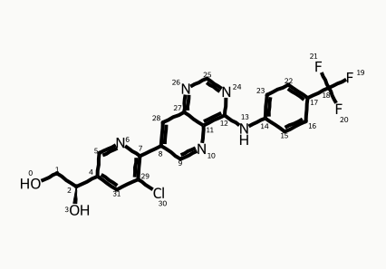 OC[C@H](O)c1cnc(-c2cnc3c(Nc4ccc(C(F)(F)F)cc4)ncnc3c2)c(Cl)c1